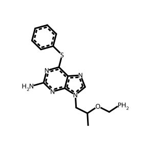 CC(Cn1cnc2c(Sc3ccccc3)nc(N)nc21)OCP